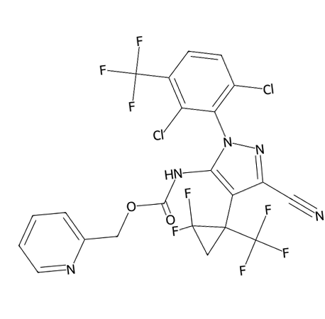 N#Cc1nn(-c2c(Cl)ccc(C(F)(F)F)c2Cl)c(NC(=O)OCc2ccccn2)c1C1(C(F)(F)F)CC1(F)F